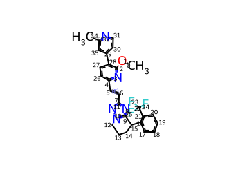 COc1nc(/C=C/c2nc3n(n2)CCCC3c2ccccc2C(F)(F)F)ccc1-c1ccnc(C)c1